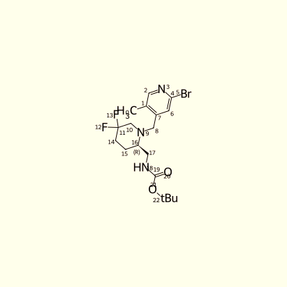 Cc1cnc(Br)cc1CN1CC(F)(F)CC[C@@H]1CNC(=O)OC(C)(C)C